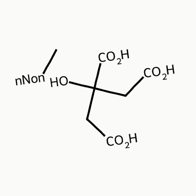 CCCCCCCCCC.O=C(O)CC(O)(CC(=O)O)C(=O)O